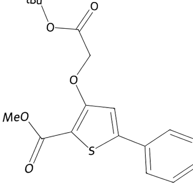 COC(=O)c1sc(-c2ccccc2)cc1OCC(=O)OC(C)(C)C